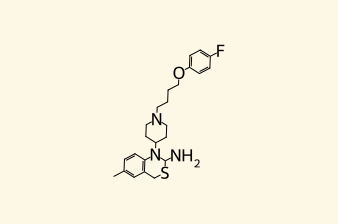 Cc1ccc2c(c1)CSC(N)N2C1CCN(CCCCOc2ccc(F)cc2)CC1